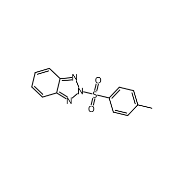 Cc1ccc(S(=O)(=O)n2nc3ccccc3n2)cc1